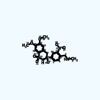 CNCc1ccc([N+]2([O-])Cc3cc(OC)c(OC)cc3S(=O)(=O)N2)cc1[N+](=O)[O-]